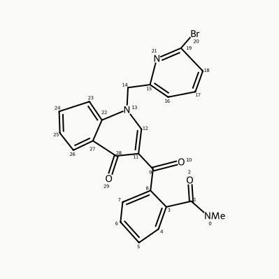 CNC(=O)c1ccccc1C(=O)c1cn(Cc2cccc(Br)n2)c2ccccc2c1=O